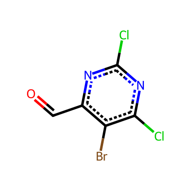 O=Cc1nc(Cl)nc(Cl)c1Br